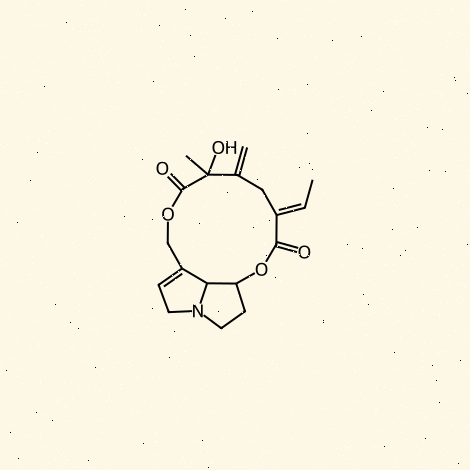 C=C1C/C(=C\C)C(=O)OC2CCN3CC=C(COC(=O)C1(C)O)C23